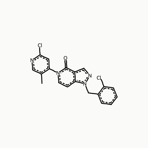 Cc1cnc(Cl)cc1-n1ccc2c(cnn2Cc2ccccc2Cl)c1=O